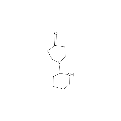 O=C1CCN(C2CCCCN2)CC1